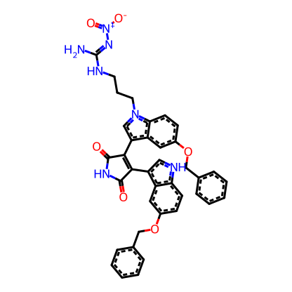 NC(=N[N+](=O)[O-])NCCCn1cc(C2=C(c3c[nH]c4ccc(OCc5ccccc5)cc34)C(=O)NC2=O)c2cc(OCc3ccccc3)ccc21